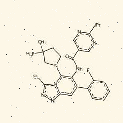 CCc1nnc2cc(-c3ccccc3F)c(NC(=O)c3cnc(C(C)C)nc3)c(N3CCC(C)(P)C3)n12